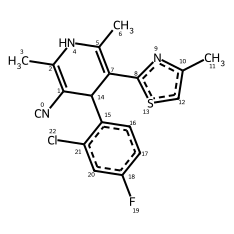 [C-]#[N+]C1=C(C)NC(C)=C(c2nc(C)cs2)C1c1ccc(F)cc1Cl